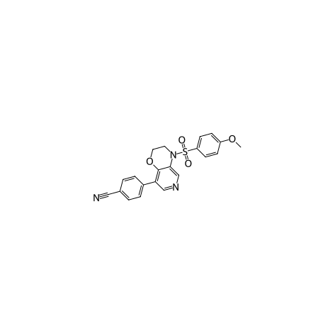 COc1ccc(S(=O)(=O)N2CCOc3c(-c4ccc(C#N)cc4)cncc32)cc1